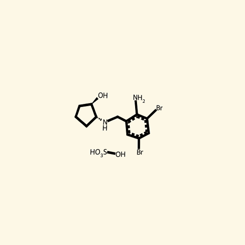 Nc1c(Br)cc(Br)cc1CN[C@@H]1CCC[C@H]1O.O=S(=O)(O)O